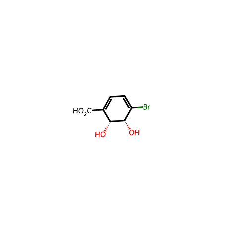 O=C(O)C1=CC=C(Br)[C@H](O)[C@@H]1O